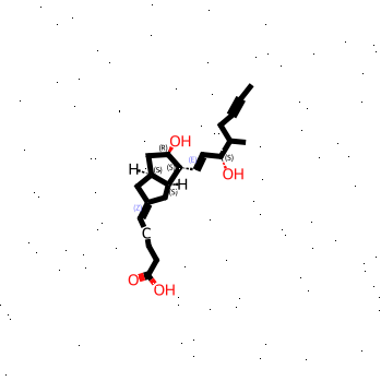 CC#CCC(C)[C@H](O)/C=C/[C@@H]1[C@H]2C/C(=C\CCCC(=O)O)C[C@H]2C[C@H]1O